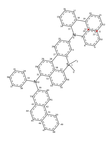 C[Si]1(C)c2cc(N(c3ccccc3)c3ccccc3-c3ccccc3)ccc2-c2ccc(N(c3ccccc3)c3ccc4c(ccc5ccccc54)c3)c3cccc1c23